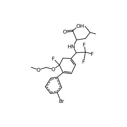 COCOC1(F)CC(C(NC(CC(C)C)C(=O)O)C(F)(F)F)=CC=C1c1cccc(Br)c1